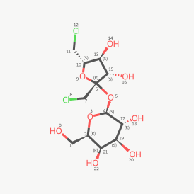 OC[C@H]1O[C@@H](O[C@]2(CCl)O[C@H](CCl)[C@@H](O)[C@@H]2O)[C@H](O)[C@@H](O)[C@H]1O